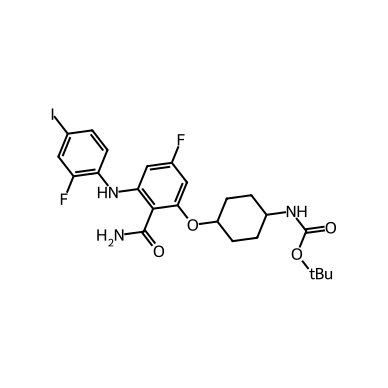 CC(C)(C)OC(=O)NC1CCC(Oc2cc(F)cc(Nc3ccc(I)cc3F)c2C(N)=O)CC1